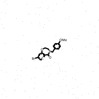 COc1ccc(CN2CCOc3cc(Br)ccc3C2=O)cc1